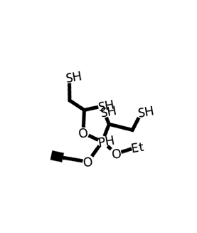 C#CO[PH](OCC)(OC(S)CS)C(S)CS